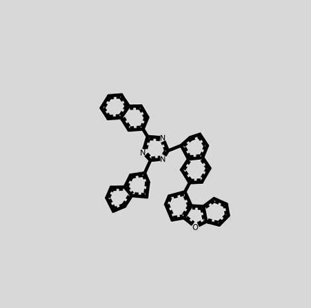 c1ccc2cc(-c3nc(-c4ccc5ccccc5c4)nc(-c4cccc5ccc(-c6cccc7oc8ccccc8c67)cc45)n3)ccc2c1